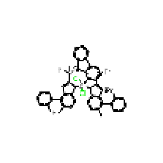 Cc1ccc2c(c1-c1ccccc1C(C)C)C=C(CC(C)C)[CH]2[Zr]([Cl])([Cl])([c]1cccc2c1[SiH2]c1ccccc1-2)[CH]1C(CC(C)C)=Cc2c1ccc(C)c2-c1ccccc1C(C)C